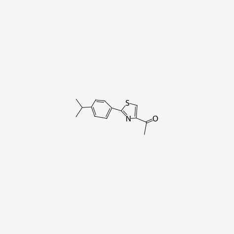 CC(=O)c1csc(-c2ccc(C(C)C)cc2)n1